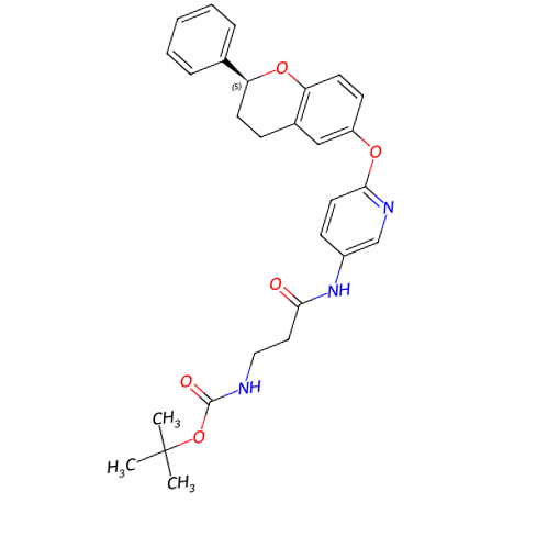 CC(C)(C)OC(=O)NCCC(=O)Nc1ccc(Oc2ccc3c(c2)CC[C@@H](c2ccccc2)O3)nc1